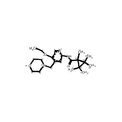 CCOc1cnc(NC(=O)C2(C)C(C)(C)C2(C)C)cc1CN1CCOCC1